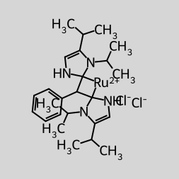 CC(C)C1=CN[C]2([Ru+2][C]3(NC=C(C(C)C)N3C(C)C)C2c2ccccc2)N1C(C)C.[Cl-].[Cl-]